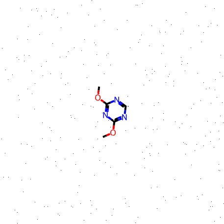 COc1n[c]nc(OC)n1